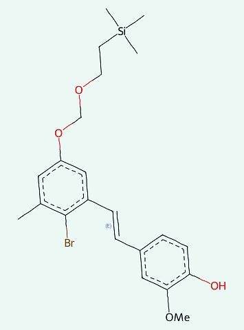 COc1cc(/C=C/c2cc(OCOCC[Si](C)(C)C)cc(C)c2Br)ccc1O